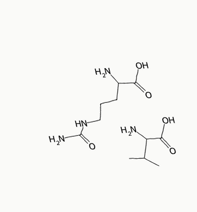 CC(C)C(N)C(=O)O.NC(=O)NCCCC(N)C(=O)O